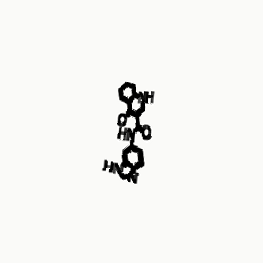 O=C(Nc1ccc2nc[nH]c2c1)c1c[nH]c2ccccc2c1=O